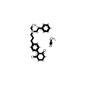 CC#N.CCN(CCCc1ccc(C2C(Cl)CCCC2Cl)cc1)CCc1ccccc1